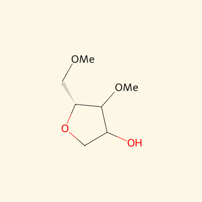 COC[C@H]1OCC(O)C1OC